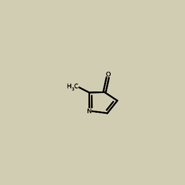 CC1=NC=CC1=O